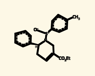 CCOC(=O)C1=CC[C@@H](c2ccccc2)N([S+]([O-])c2ccc(C)cc2)C1